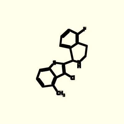 Cc1cccc2sc(C3NCCc4c(F)cccc43)c(Cl)c12